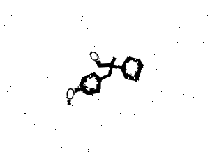 COc1ccc(CC(C)(C=O)c2ccccc2)cc1